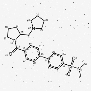 CN(C)S(=O)(=O)c1ccc(-c2ccc(C(=O)N3CCCC3CN3CCCC3)cc2)cc1